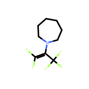 FC(F)=C(N1CCCCCC1)C(F)(F)F